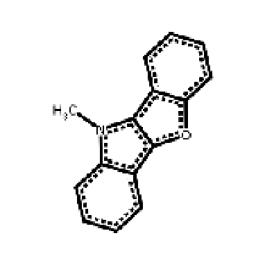 Cn1c2ccccc2c2oc3ccccc3c21